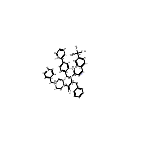 O=C([C@H](Cc1ccccc1)N(Cc1ccc(-c2ccccn2)cc1)C(=O)/C=C\c1ccc(C(F)(F)F)cc1)N1CCN(Cc2ccncc2)CC1